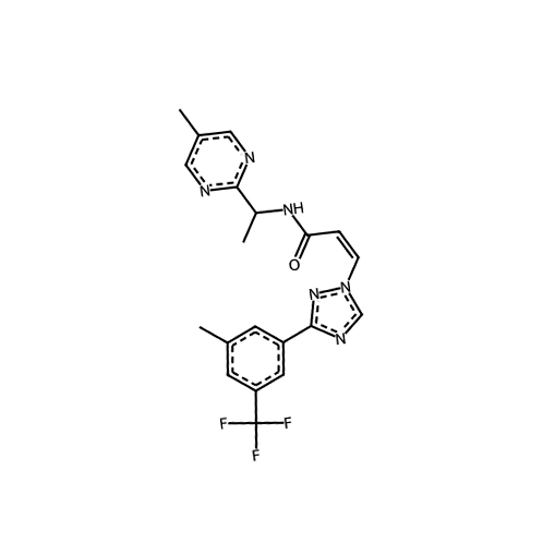 Cc1cnc(C(C)NC(=O)/C=C\n2cnc(-c3cc(C)cc(C(F)(F)F)c3)n2)nc1